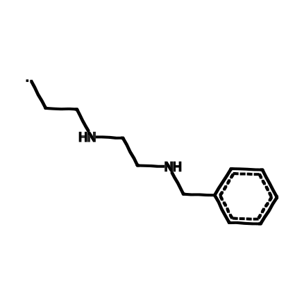 [CH2]CCNCCNCc1ccccc1